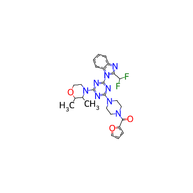 CC1OCCN(c2nc(N3CCN(C(=O)c4ccco4)CC3)nc(-n3c(C(F)F)nc4ccccc43)n2)C1C